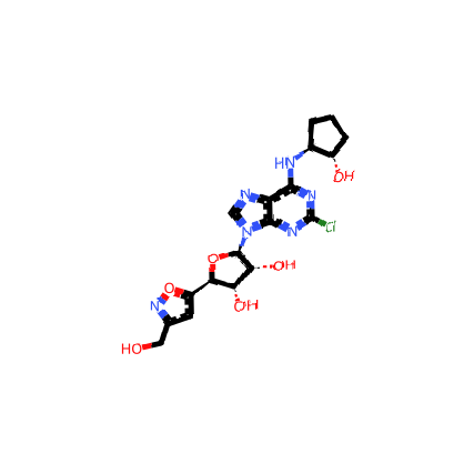 OCc1cc([C@H]2O[C@@H](n3cnc4c(N[C@H]5CCC[C@@H]5O)nc(Cl)nc43)[C@H](O)[C@@H]2O)on1